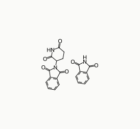 O=C1CCC(N2C(=O)c3ccccc3C2=O)C(=O)N1.O=C1NC(=O)c2ccccc21